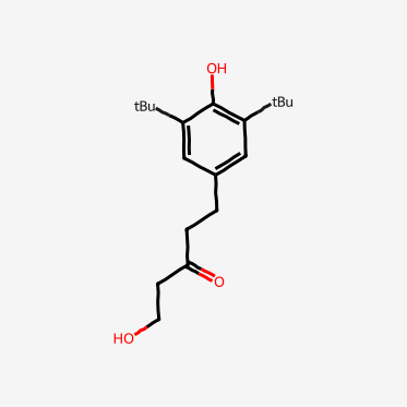 CC(C)(C)c1cc(CCC(=O)CCO)cc(C(C)(C)C)c1O